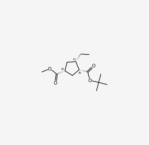 CC[C@H]1C[C@@H](C(=O)OC)C[C@H]1C(=O)OC(C)(C)C